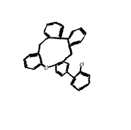 Clc1ccccc1-c1ccc2c(c1)Cc1ccccc1-c1ccccc1Cc1ccccc1O2